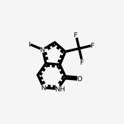 O=c1[nH]ncc2c1c(C(F)(F)F)cn2I